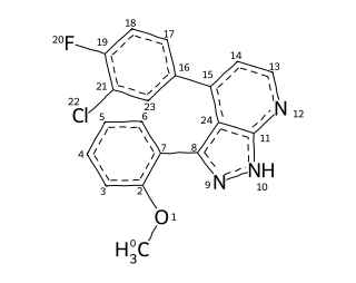 COc1ccccc1-c1n[nH]c2nccc(-c3ccc(F)c(Cl)c3)c12